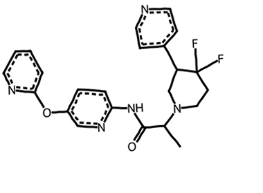 CC(C(=O)Nc1ccc(Oc2ccccn2)cn1)N1CCC(F)(F)C(c2ccncc2)C1